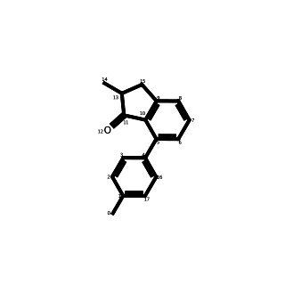 Cc1ccc(-c2cccc3c2C(=O)C(C)C3)cc1